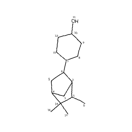 CC1C2CC(CC2C2CCC(O)CC2)C1(C)C